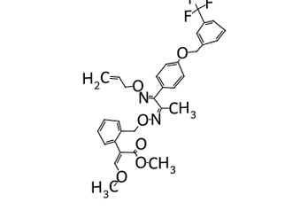 C=CCON=C(C(C)=NOCc1ccccc1C(=COC)C(=O)OC)c1ccc(OCc2cccc(C(F)(F)F)c2)cc1